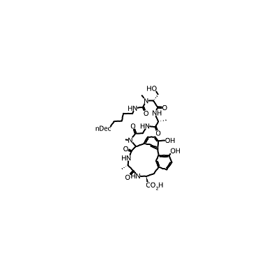 CCCCCCCCCCCCCCNC(=O)N(C)[C@H](CO)C(=O)N[C@H](C)C(=O)NCC(=O)N(C)C1C(=O)N[C@@H](C)C(=O)N[C@H](C(=O)O)Cc2ccc(O)c(c2)-c2cc1ccc2O